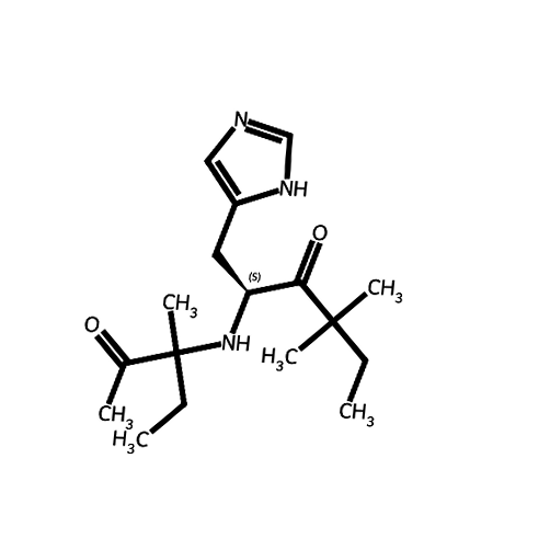 CCC(C)(C)C(=O)[C@H](Cc1cnc[nH]1)NC(C)(CC)C(C)=O